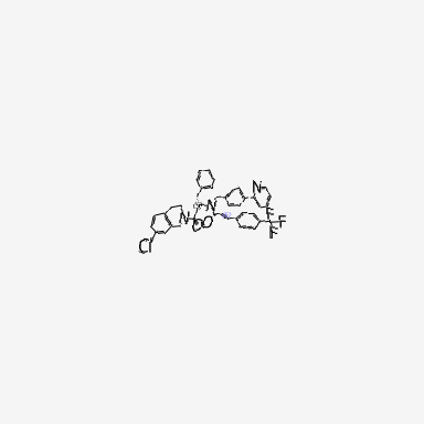 O=C([C@H](Cc1ccccc1)N(Cc1ccc(-c2ccccn2)cc1)C(=O)/C=C/c1ccc(C(F)(F)F)cc1)N1CCc2ccc(Cl)cc2C1